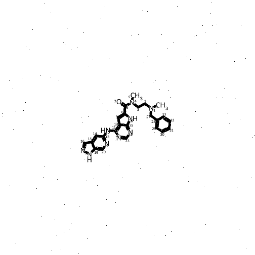 CN(CCN(C)C(=O)c1cc2c(Nc3cc4cn[nH]c4cn3)ncnc2[nH]1)Cc1ccccc1